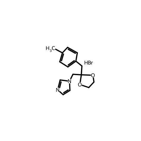 Br.Cc1ccc(CC2(Cn3ccnc3)OCCO2)cc1